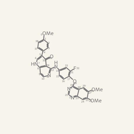 COc1ccc(-c2c[nH]c3ccnc(Nc4ccc(Oc5ncnc6cc(OC)c(OC)cc56)c(F)c4)c3c2=O)cc1